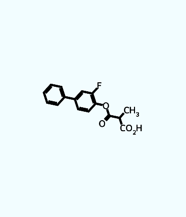 CC(C(=O)O)C(=O)Oc1ccc(-c2ccccc2)cc1F